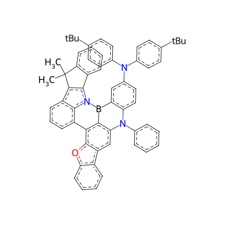 CC(C)(C)c1ccc(N(c2ccc(C(C)(C)C)cc2)c2ccc3c(c2)B2c4c(cc5c(oc6ccccc65)c4-c4cccc5c6c(n2c45)-c2ccccc2C6(C)C)N3c2ccccc2)cc1